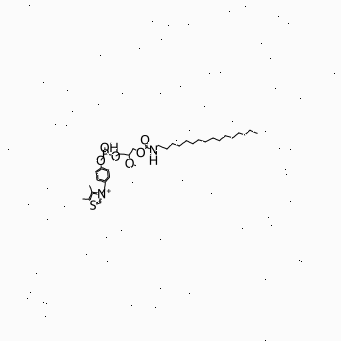 CCCCCCCCCCCCCCCCNC(=O)OCC(COP(O)Oc1ccc(C[n+]2csc(C)c2C)cc1)OC